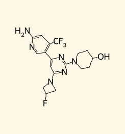 Nc1cc(C(F)(F)F)c(-c2cc(N3CC(F)C3)nc(N3CCC(O)CC3)n2)cn1